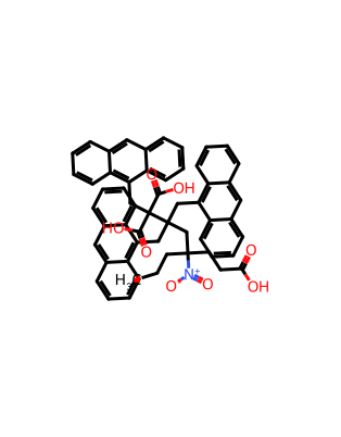 CCCC(CCC(=O)O)(CC(Cc1c2ccccc2cc2ccccc12)(Cc1c2ccccc2cc2ccccc12)C(Cc1c2ccccc2cc2ccccc12)(C(=O)O)C(=O)O)[N+](=O)[O-]